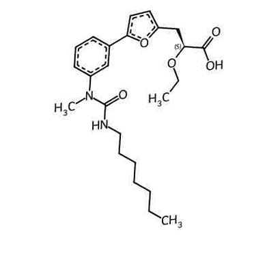 CCCCCCCNC(=O)N(C)c1cccc(-c2ccc(C[C@H](OCC)C(=O)O)o2)c1